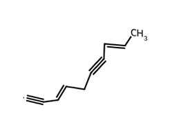 [C]#CC=CCC#CC=CC